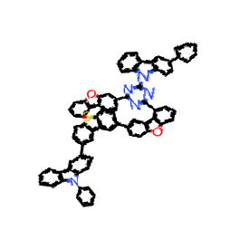 c1ccc(-c2ccc3c(c2)c2ccccc2n3-c2nc(-c3ccc4c(c3)oc3ccccc34)nc(-c3cccc4oc5ccc(-c6ccc7sc8ccc(-c9ccc%10c(c9)c9ccccc9n%10-c9ccccc9)cc8c7c6)cc5c34)n2)cc1